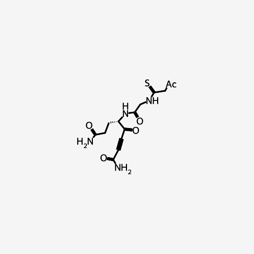 CC(=O)CC(=S)NCC(=O)N[C@@H](CCC(N)=O)C(=O)C#CC(N)=O